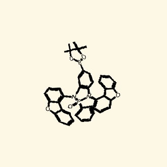 CC1(C)OB(c2ccc3c(c2)N(c2cccc4oc5ccccc5c24)P(=O)(c2ccccc2)N3C2=CC=CC3Oc4ccccc4C23)OC1(C)C